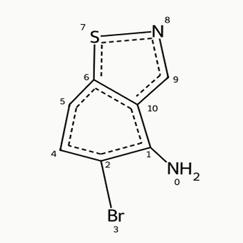 Nc1c(Br)ccc2sncc12